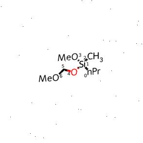 CCC[Si](C)(OC)OCOC